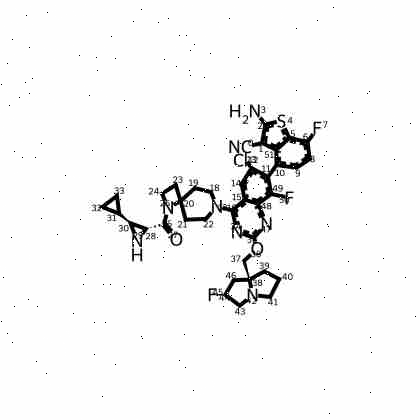 N#Cc1c(N)sc2c(F)ccc(-c3c(Cl)cc4c(N5CCC6(CC5)CCN6C(=O)[C@@H]5N[C@H]5C5CC5)nc(OC[C@@]56CCCN5C[C@H](F)C6)nc4c3F)c12